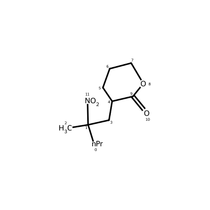 CCCC(C)(CC1CCCOC1=O)[N+](=O)[O-]